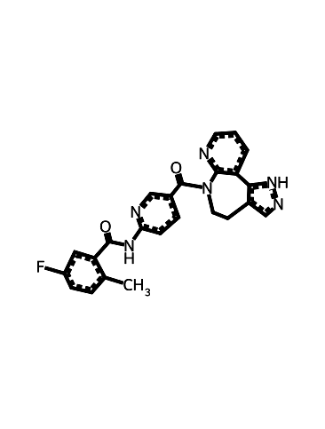 Cc1ccc(F)cc1C(=O)Nc1ccc(C(=O)N2CCc3cn[nH]c3-c3cccnc32)cn1